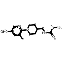 Cc1cc(C=O)cnc1N1CCC(CNC(=O)OC(C)(C)C)CC1